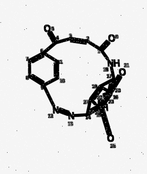 O=c1ccc(=O)c2ccc(cc2)nnc2ccc([nH]1)c1c(=O)ccc(=O)[nH]c21